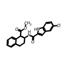 COC(=O)C1c2ccccc2CCC1NC(=O)c1cc2cc(Cl)ccc2[nH]1